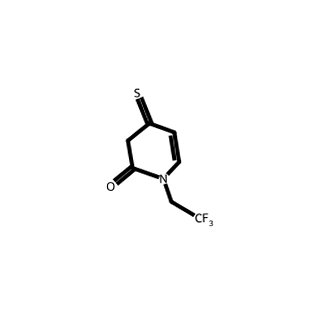 O=C1CC(=S)C=CN1CC(F)(F)F